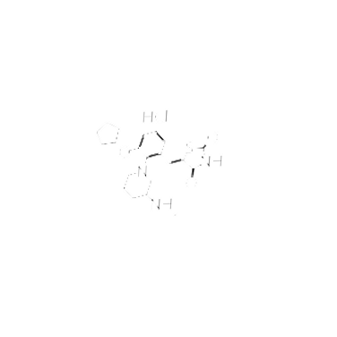 Cl.NC1CCCN(c2c(C=C3SC(=O)NC3=O)cccc2OC2CCCC2)C1